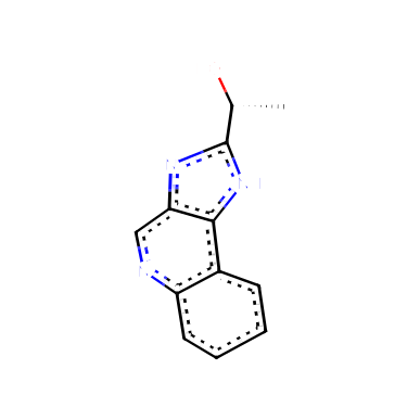 C[C@@H](O)c1nc2cnc3ccccc3c2[nH]1